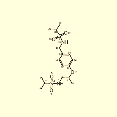 CC(CNS(=O)(=O)C(C)C)Oc1ccc(CNS(=O)(=O)C(C)C)cc1